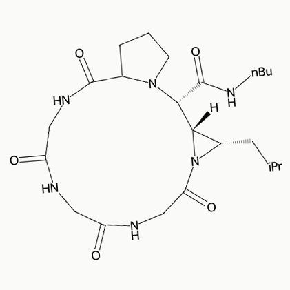 CCCCNC(=O)[C@@H]1[C@@H]2[C@H](CC(C)C)N2C(=O)CNC(=O)CNC(=O)CNC(=O)C2CCCN21